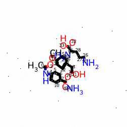 CC(=O)Nc1ccc(C=O)cc1.COc1ccc(CC(=O)O)cc1.N.NCCC[C@H](N)C(=O)O